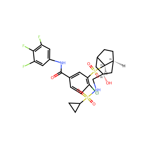 O=C(Nc1cc(F)c(F)c(F)c1)c1ccc(Cl)c(S(=O)(=O)[C@H]2C3CC[C@H]2C[C@@](O)(CNS(=O)(=O)C2CC2)C3)c1